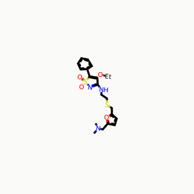 CCOC1=C(c2ccccc2)S(=O)(=O)N=C1NCCSCc1ccc(CN(C)C)o1